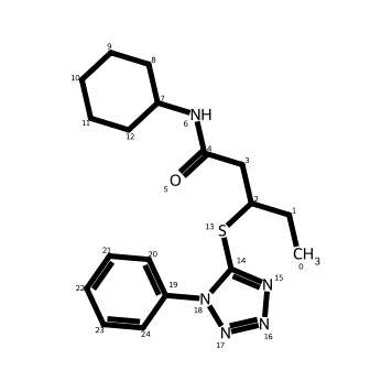 CCC(CC(=O)NC1CCCCC1)Sc1nnnn1-c1ccccc1